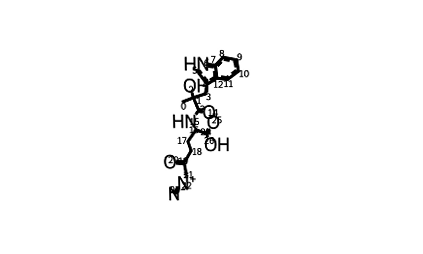 CC(O)(Cc1c[nH]c2ccccc12)C(=O)NC(CCC(=O)C=[N+]=[N-])C(=O)O